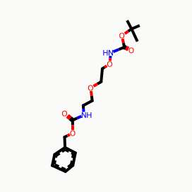 CC(C)(C)OC(=O)NOCCOCCNC(=O)OCc1ccccc1